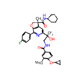 COc1cc(C(=O)NCC(O)(c2cc3c(c(-c4ccc(F)cc4)n2)OC[C@]3(C)C(=O)NC2CCCCC2)C(F)(F)F)ccc1OC1CC1